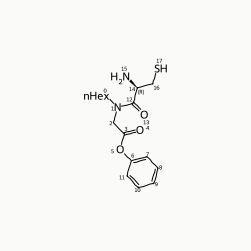 CCCCCCN(CC(=O)Oc1ccccc1)C(=O)[C@@H](N)CS